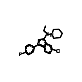 CCN(c1cn(-c2ccc(F)cc2)c2ccc(Cl)cc12)N1CCCCC1